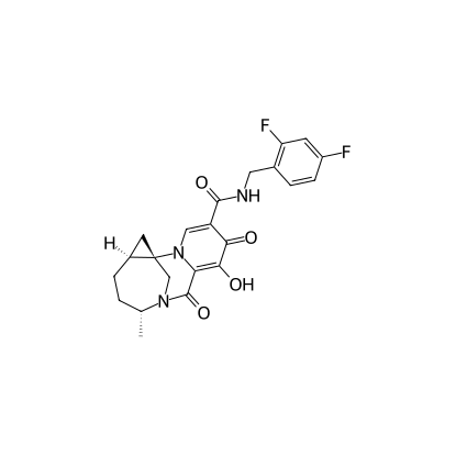 C[C@@H]1CC[C@H]2C[C@@]23CN1C(=O)c1c(O)c(=O)c(C(=O)NCc2ccc(F)cc2F)cn13